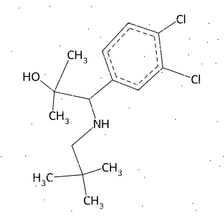 CC(C)(C)CNC(c1ccc(Cl)c(Cl)c1)C(C)(C)O